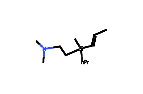 CC=C[Si](C)(CCC)CCN(C)C